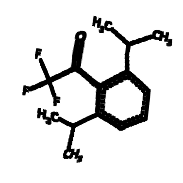 CC(C)c1cccc(C(C)C)c1C(=O)C(F)(F)F